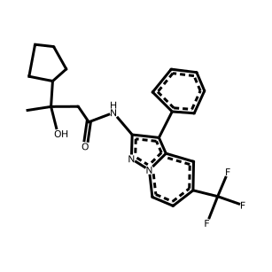 CC(O)(CC(=O)Nc1nn2ccc(C(F)(F)F)cc2c1-c1ccccc1)C1CCCC1